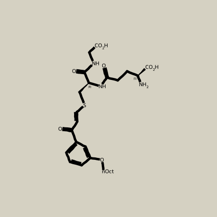 CCCCCCCCOc1cccc(C(=O)C=CSC[C@H](NC(=O)CC[C@H](N)C(=O)O)C(=O)NCC(=O)O)c1